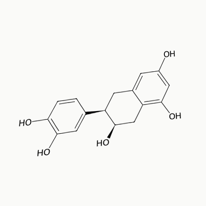 Oc1cc(O)c2c(c1)C[C@H](c1ccc(O)c(O)c1)[C@H](O)C2